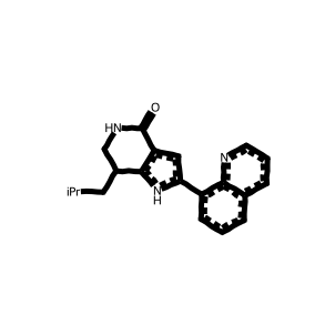 CC(C)CC1CNC(=O)c2cc(-c3cccc4cccnc34)[nH]c21